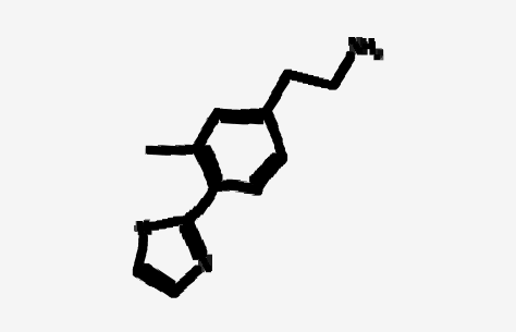 Cc1cc(CCN)ccc1C1=NC=C[N]1